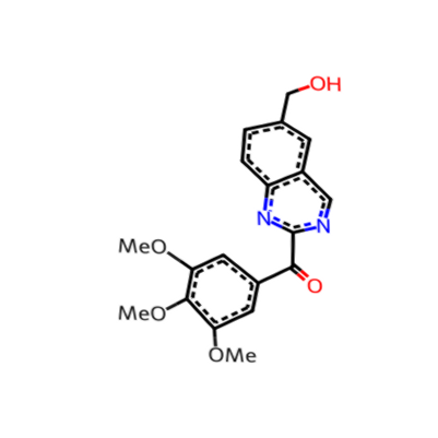 COc1cc(C(=O)c2ncc3cc(CO)ccc3n2)cc(OC)c1OC